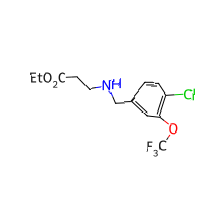 CCOC(=O)CCNCc1ccc(Cl)c(OC(F)(F)F)c1